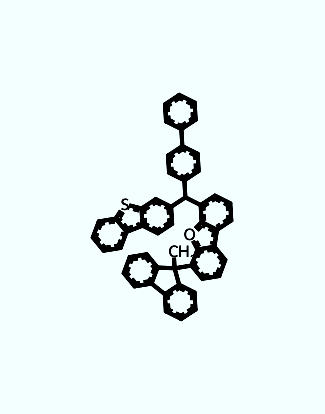 CC1(c2cccc3c2oc2c(C(c4ccc(-c5ccccc5)cc4)c4ccc5c(c4)sc4ccccc45)cccc23)c2ccccc2-c2ccccc21